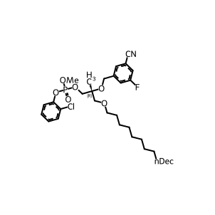 CCCCCCCCCCCCCCCCCCOC[C@](C)(COP(=O)(OC)Oc1ccccc1Cl)OCc1cc(F)cc(C#N)c1